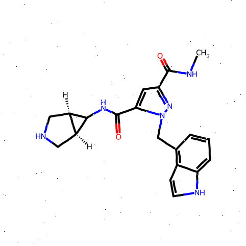 CNC(=O)c1cc(C(=O)NC2[C@H]3CNC[C@@H]23)n(Cc2cccc3[nH]ccc23)n1